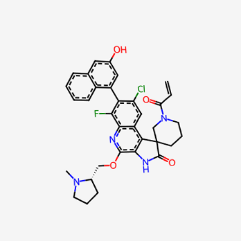 C=CC(=O)N1CCCC2(C1)C(=O)Nc1c(OC[C@@H]3CCCN3C)nc3c(F)c(-c4cc(O)cc5ccccc45)c(Cl)cc3c12